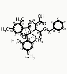 Cc1cc(C)c(C(=O)P(=O)(C(=O)c2c(C)cc(C)cc2C)C(C(=O)OCc2ccccc2)C(Br)C(=O)O)c(C)c1